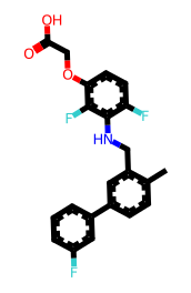 Cc1ccc(-c2cccc(F)c2)cc1CNc1c(F)ccc(OCC(=O)O)c1F